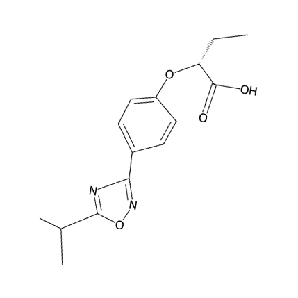 CC[C@@H](Oc1ccc(-c2noc(C(C)C)n2)cc1)C(=O)O